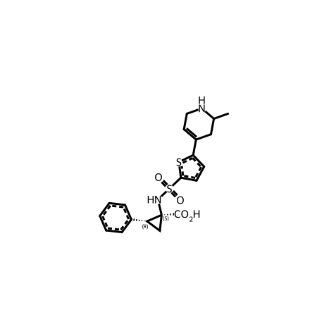 CC1CC(c2ccc(S(=O)(=O)N[C@@]3(C(=O)O)C[C@@H]3c3ccccc3)s2)=CCN1